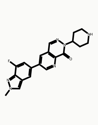 Cn1cc2cc(-c3cnc4c(=O)n(C5CCNCC5)ncc4c3)cc(F)c2n1